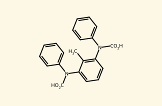 Cc1c(N(C(=O)O)c2ccccc2)cccc1N(C(=O)O)c1ccccc1